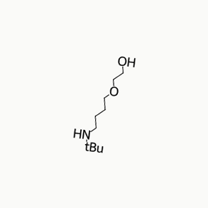 CC(C)(C)NCCCCOCCO